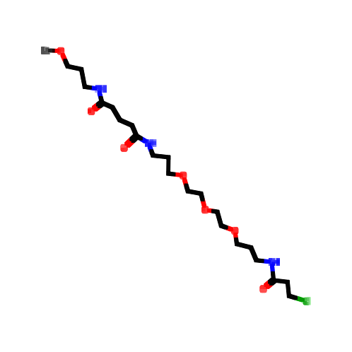 CCOCCCNC(=O)CCCC(=O)NCCCOCCOCCOCCCNC(=O)CCCl